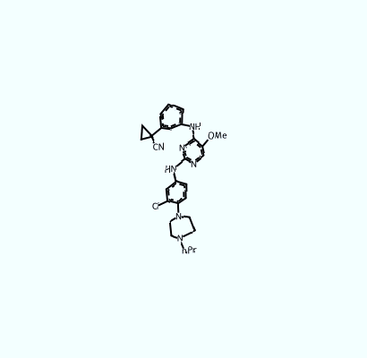 CCCN1CCN(c2ccc(Nc3ncc(OC)c(Nc4cccc(C5(C#N)CC5)c4)n3)cc2Cl)CC1